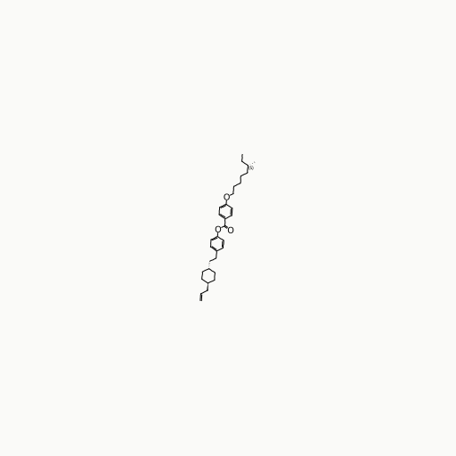 C=CC[C@H]1CC[C@H](CCc2ccc(OC(=O)c3ccc(OCCCCC[C@@H](C)CC)cc3)cc2)CC1